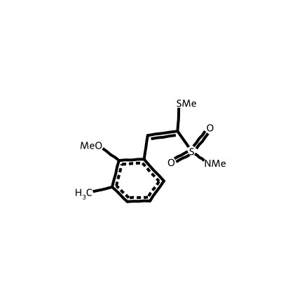 CNS(=O)(=O)C(=Cc1cccc(C)c1OC)SC